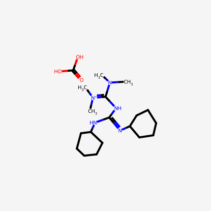 CN(C)C(NC(=NC1CCCCC1)NC1CCCCC1)=[N+](C)C.O=C(O)O